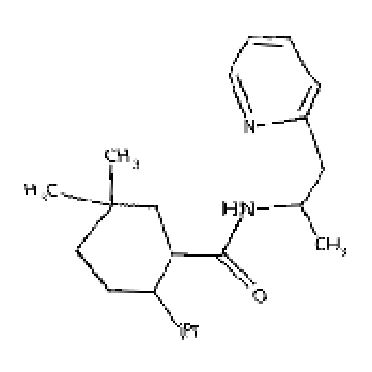 CC(Cc1ccccn1)NC(=O)C1CC(C)(C)CCC1C(C)C